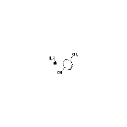 Cc1ccc(N=O)c(NN)c1